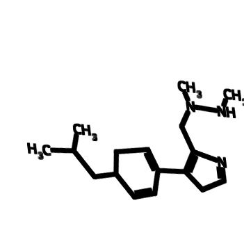 CNN(C)CC1=C(C2=CCC(CC(C)C)C=C2)CC=N1